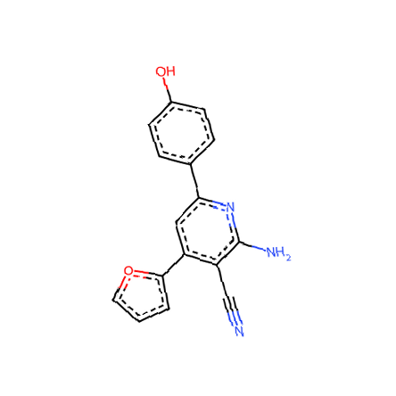 N#Cc1c(-c2ccco2)cc(-c2ccc(O)cc2)nc1N